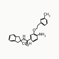 Cc1cccc(CCOc2cc(C(=O)NC3(C(=O)O)Cc4ccccc4C3)ccc2N)c1